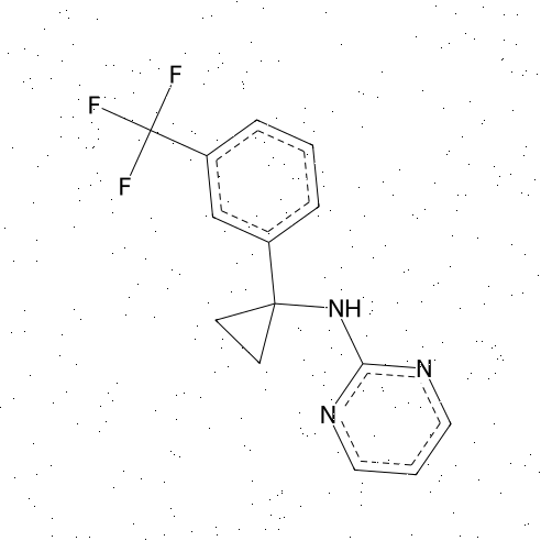 FC(F)(F)c1cccc(C2(Nc3ncccn3)CC2)c1